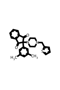 Cc1cc(C)cc(C2(N3CCN(Cc4cccs4)CC3)C(=O)c3ccccc3C2=O)c1